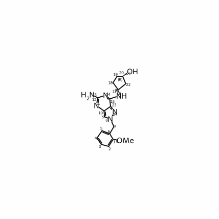 COc1ccccc1Cn1cc2nc(N)nc(N[C@@H]3CC[C@@H](O)C3)c2n1